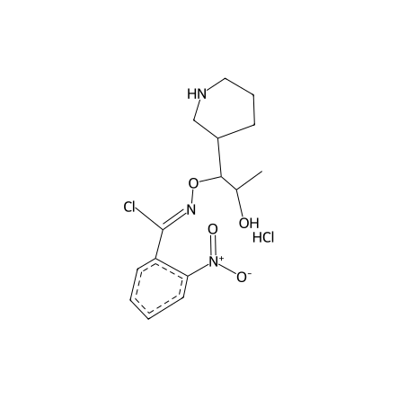 CC(O)C(ON=C(Cl)c1ccccc1[N+](=O)[O-])C1CCCNC1.Cl